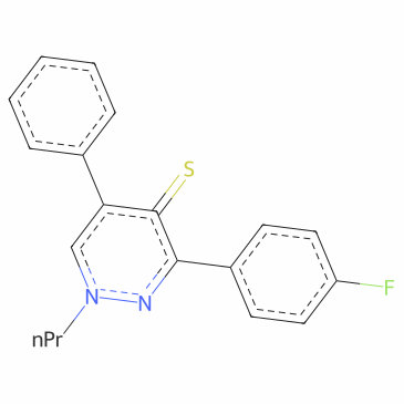 CCCn1cc(-c2ccccc2)c(=S)c(-c2ccc(F)cc2)n1